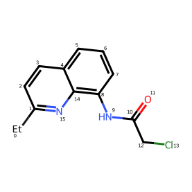 CCc1ccc2cccc(NC(=O)CCl)c2n1